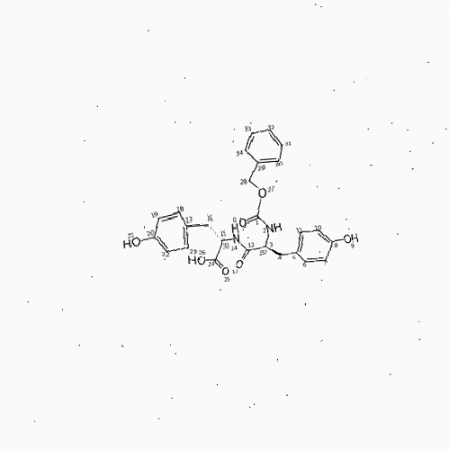 O=C(N[C@@H](Cc1ccc(O)cc1)C(=O)N[C@@H](Cc1ccc(O)cc1)C(=O)O)OCc1ccccc1